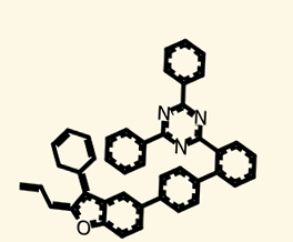 C=C/C=c1/oc2ccc(-c3ccc(-c4ccccc4-c4nc(-c5ccccc5)nc(-c5ccccc5)n4)cc3)cc2/c1=C1\C=CC=CC1